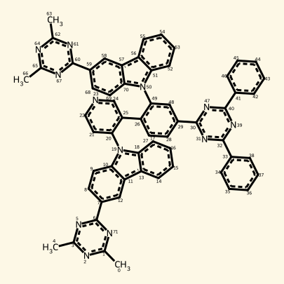 Cc1nc(C)nc(-c2ccc3c(c2)c2ccccc2n3-c2ccncc2-c2ccc(-c3nc(-c4ccccc4)nc(-c4ccccc4)n3)cc2-n2c3ccccc3c3cc(-c4nc(C)nc(C)n4)ccc32)n1